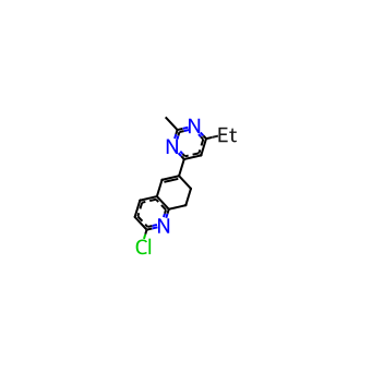 CCc1cc(C2=Cc3ccc(Cl)nc3CC2)nc(C)n1